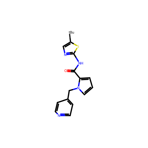 CC(C)(C)c1cnc(NC(=O)c2cccn2Cc2ccncc2)s1